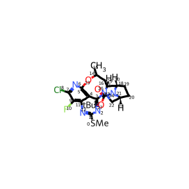 CSc1nc2c3c(nc(Cl)c(F)c3n1)OC(C)C[C@@H]1[C@@H]3CC[C@H](CN21)N3C(=O)OC(C)(C)C